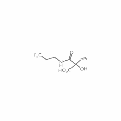 CCCC(O)(C(=O)O)C(=O)NCCC(F)(F)F